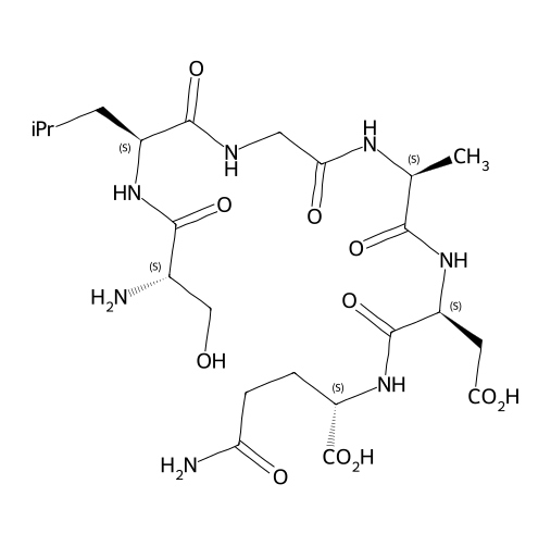 CC(C)C[C@H](NC(=O)[C@@H](N)CO)C(=O)NCC(=O)N[C@@H](C)C(=O)N[C@@H](CC(=O)O)C(=O)N[C@@H](CCC(N)=O)C(=O)O